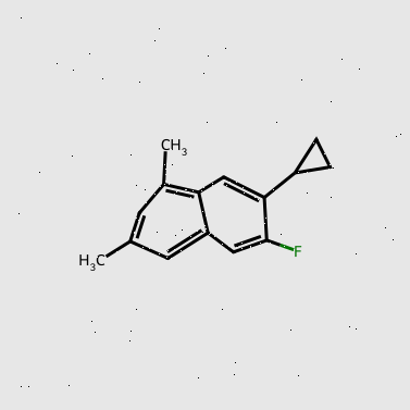 Cc1cc(C)c2cc(C3CC3)c(F)cc2c1